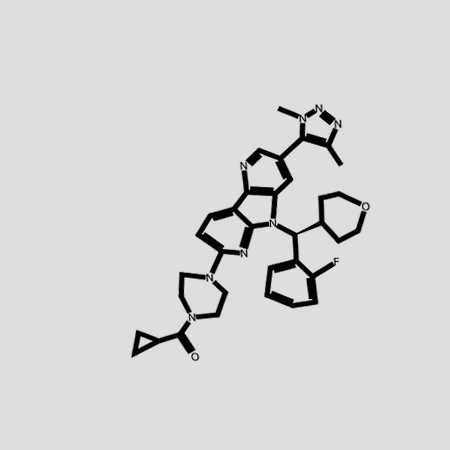 Cc1nnn(C)c1-c1cnc2c3ccc(N4CCN(C(=O)C5CC5)CC4)nc3n([C@H](c3ccccc3F)C3CCOCC3)c2c1